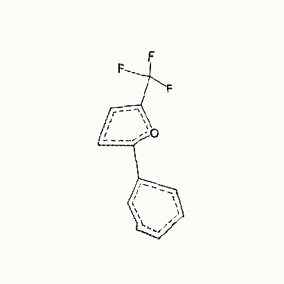 FC(F)(F)c1ccc(-c2ccccc2)o1